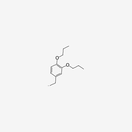 [CH2]Cc1ccc(OCCC)c(OCCC)c1